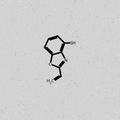 C=Cc1nc2c(S)cccc2o1